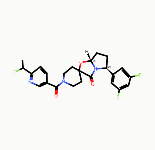 CC(F)c1ccc(C(=O)N2CCC3(CC2)O[C@@H]2CC[C@@H](c4cc(F)cc(F)c4)N2C3=O)cn1